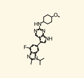 COC1CCC(Nc2ncc3c(-c4cc(F)c5nc(C)n(C(C)C)c5c4)c[nH]c3n2)CC1